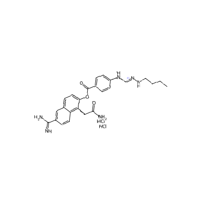 CCCCN/N=C/Nc1ccc(C(=O)Oc2ccc3cc(C(=N)N)ccc3c2CC(N)=O)cc1.Cl.Cl